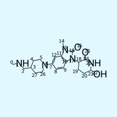 CNCC1CCN(c2ccc3c(c2)n(C)c(=O)n3C2CCC(O)NC2=O)CC1